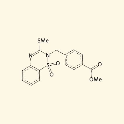 COC(=O)c1ccc(CN2C(SC)=Nc3ccccc3S2(=O)=O)cc1